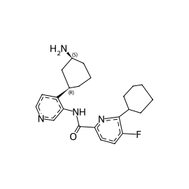 N[C@H]1CCC[C@@H](c2ccncc2NC(=O)c2ccc(F)c(C3CCCCC3)n2)C1